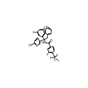 CC(F)(F)c1ccc(C(=O)NC(Cc2ccccc2)(c2ccc(Cl)nc2)c2cc(F)cc(C(F)(F)F)c2)cc1F